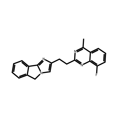 Cc1nc(CCc2cn3c(n2)-c2ccccc2C3)nc2c(F)cccc12